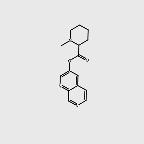 CN1CCCCC1C(=O)Oc1cnc2cnccc2c1